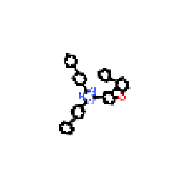 c1ccc(-c2ccc(-c3nc(-c4ccc(-c5ccccc5)cc4)nc(-c4ccc5oc6cccc(-c7ccccc7)c6c5c4)n3)cc2)cc1